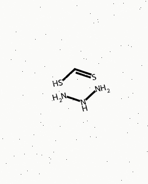 NNN.S=CS